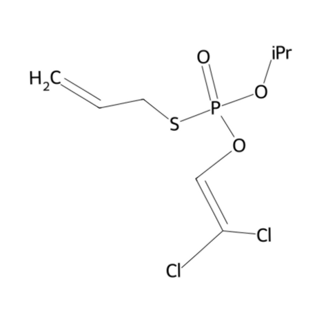 C=CCSP(=O)(OC=C(Cl)Cl)OC(C)C